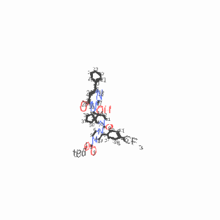 CC(C)(C)OC(=O)N1CCN(C(=O)N2CC[C@@](O)(Cn3cnc(-c4ccccc4)cc3=O)C3(CCCC3)C2)C(c2ccc(C(F)(F)F)cc2)C1